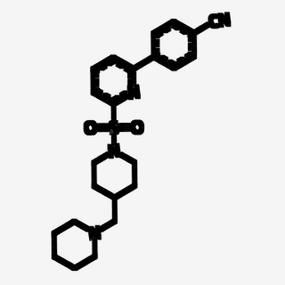 N#Cc1ccc(-c2cccc(S(=O)(=O)N3CCC(CN4CCCCC4)CC3)n2)cc1